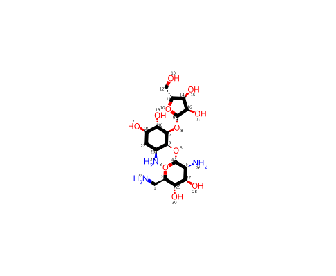 NC[C@H]1O[C@H](O[C@H]2[C@H](O[C@@H]3O[C@H](CO)[C@@H](O)[C@H]3O)[C@@H](O)[C@H](O)C[C@@H]2N)[C@H](N)[C@@H](O)[C@@H]1O